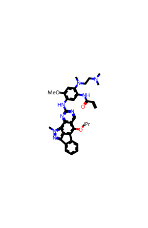 C=CC(=O)Nc1cc(Nc2ncc3c(OC(C)C)c4c5c(nn(C)c5c3n2)-c2ccccc2-4)c(OC)cc1N(C)CCN(C)C